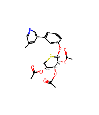 CC(=O)O[C@@H]1[C@@H](OC(C)=O)[C@H](OC(C)=O)CS[C@H]1Oc1cccc(-c2cncc(C)c2)c1